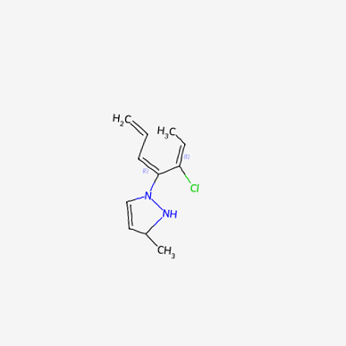 C=C/C=C(\C(Cl)=C/C)N1C=CC(C)N1